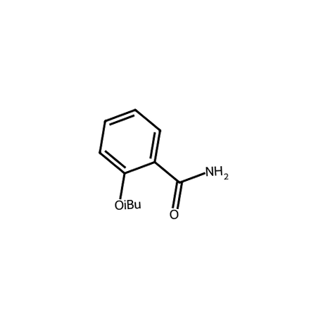 CC(C)COc1ccccc1C(N)=O